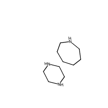 C1CCCNCC1.C1CNCCN1